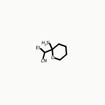 CCC(C#N)C1([SiH3])CCCCO1